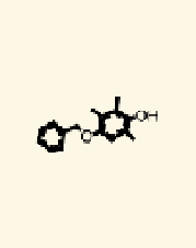 Cc1cc(OCc2ccccc2)c(C)c(C)c1O